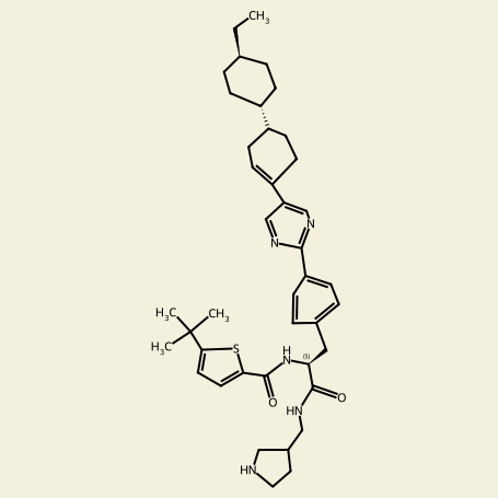 CC[C@H]1CC[C@H](C2CC=C(c3cnc(-c4ccc(C[C@H](NC(=O)c5ccc(C(C)(C)C)s5)C(=O)NCC5CCNC5)cc4)nc3)CC2)CC1